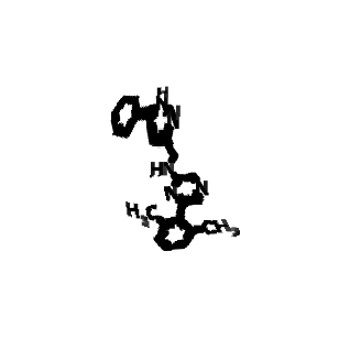 Cc1cccc(C)c1-c1cncc(NCc2cc(-c3ccccc3)[nH]n2)n1